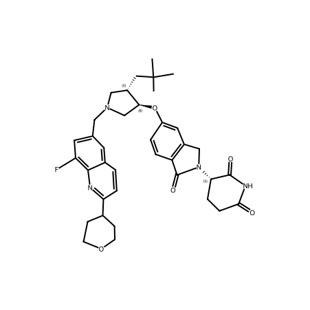 CC(C)(C)C[C@H]1CN(Cc2cc(F)c3nc(C4CCOCC4)ccc3c2)C[C@@H]1Oc1ccc2c(c1)CN([C@H]1CCC(=O)NC1=O)C2=O